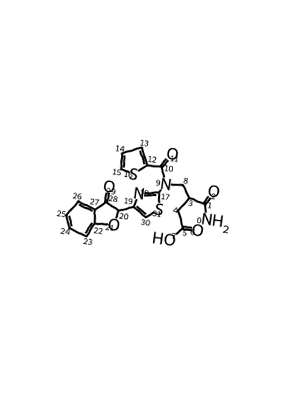 NC(=O)C(CC(=O)O)CN(C(=O)c1cccs1)c1nc(C2Oc3ccccc3C2=O)cs1